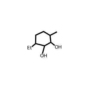 CCC1CCC(C)C(O)C1O